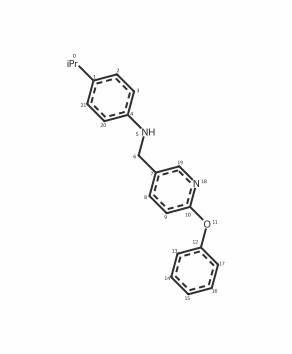 CC(C)c1ccc(NCc2ccc(Oc3ccccc3)nc2)cc1